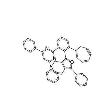 C1#CCC(c2cccc(-c3nc(-c4ccccc4)cc(-c4ccccc4)n3)c2-c2oc(-c3ccccc3)c3c2CCC=C3)=CC=C1